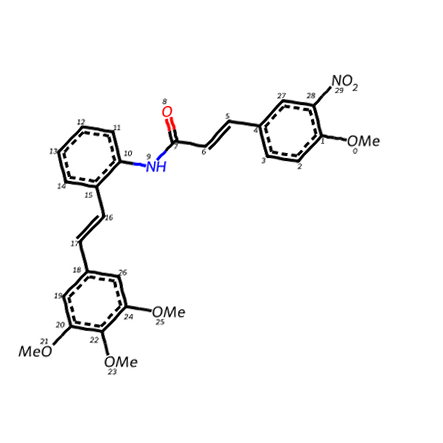 COc1ccc(/C=C/C(=O)Nc2ccccc2/C=C/c2cc(OC)c(OC)c(OC)c2)cc1[N+](=O)[O-]